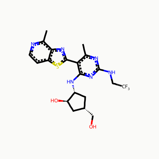 Cc1nc(NCC(F)(F)F)nc(N[C@@H]2C[C@H](CO)C[C@H]2O)c1-c1nc2c(C)nccc2s1